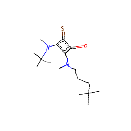 CN(CCCC(C)(C)C)c1c(N(C)C(C)(C)C)c(=S)c1=O